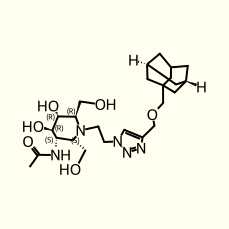 CC(=O)N[C@@H]1[C@@H](O)[C@H](O)[C@@H](CO)N(CCn2cc(COCC34CC5C[C@H](C3)C[C@H](C5)C4)nn2)[C@@H]1CO